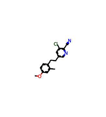 COc1ccc(CCc2cnc(C#N)c(Cl)c2)c(C)c1